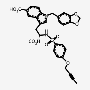 CC#CCOc1ccc(S(=O)(=O)N[C@@H](Cc2cn(Cc3ccc4c(c3)OCO4)c3ccc(C(=O)O)cc23)C(=O)O)cc1